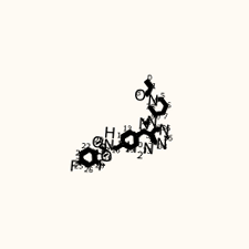 C=CC(=O)N1CCC[C@@H](n2nc(-c3ccc(CNS(=O)(=O)c4ccc(F)cc4F)cc3)c3c(N)ncnc32)C1